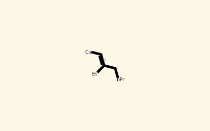 CCCC/C(=[CH]/[Cu])CC